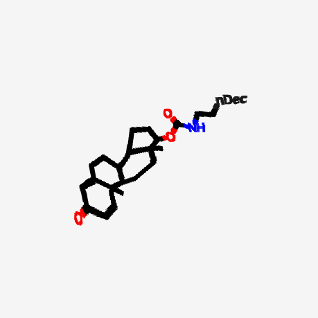 CCCCCCCCCCCCNC(=O)OC1CCC2C3CCC4=CC(=O)CCC4(C)C3CCC12C